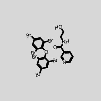 Brc1cc(Br)c(Oc2c(Br)cc(Br)cc2Br)c(Br)c1.O=C(NCCO)c1cccnc1